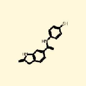 C=C1Cc2ccc(C(=C)Nc3ccc(S)cc3)cc2N1